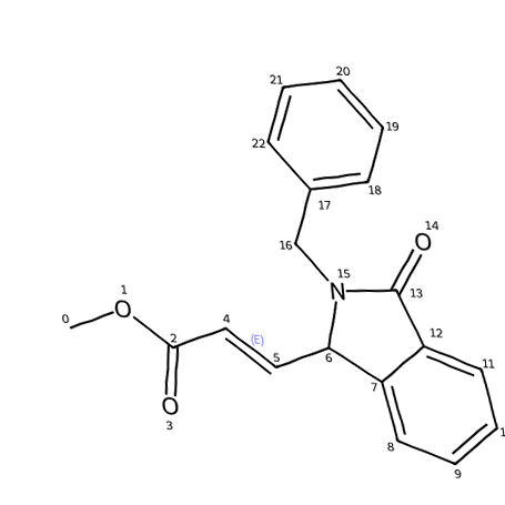 COC(=O)/C=C/C1c2ccccc2C(=O)N1Cc1ccccc1